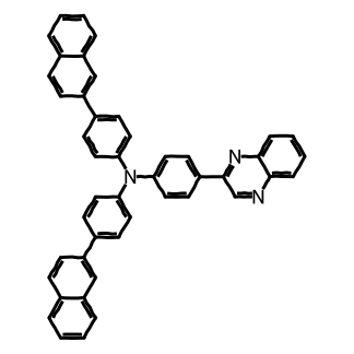 c1ccc2cc(-c3ccc(N(c4ccc(-c5ccc6ccccc6c5)cc4)c4ccc(-c5cnc6ccccc6n5)cc4)cc3)ccc2c1